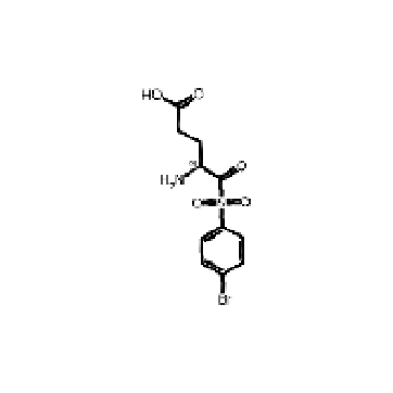 N[C@@H](CCC(=O)O)C(=O)S(=O)(=O)c1ccc(Br)cc1